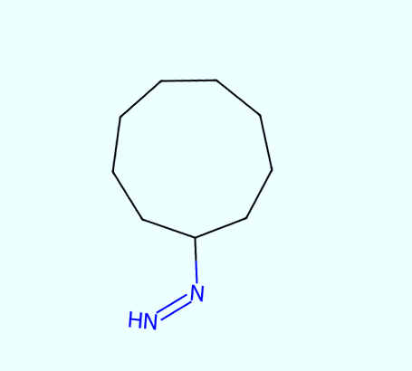 N=NC1CCCCCCCC1